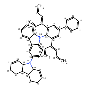 C=C/C=C(\C=C)c1cc(-c2ccccc2)cc(/C(C=C)=C/C=C)c1-n1c2ccccc2c2cc(N3C4C=CCCC4C4CCC=CC43)ccc21